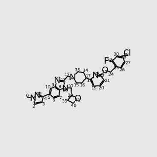 Cn1ccc(-c2ccc3c(c2)nc(CN2CCC(c4cccc(OCc5ccc(Cl)cc5F)n4)CC2)n3C[C@@H]2CCO2)n1